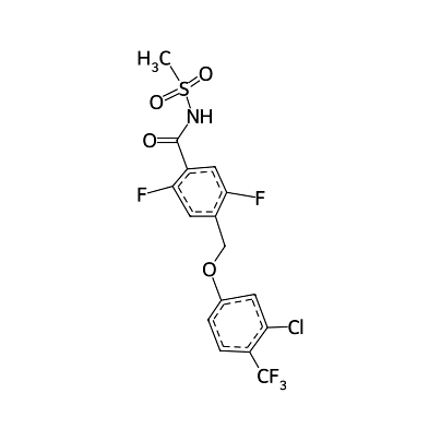 CS(=O)(=O)NC(=O)c1cc(F)c(COc2ccc(C(F)(F)F)c(Cl)c2)cc1F